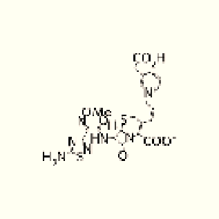 CO/N=C(\C(=O)NC1C(=O)N2C(C(=O)[O-])=C(/C=C\C[n+]3cccc(CC(=O)O)c3)CS[C@H]12)c1nsc(N)n1